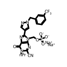 CCCn1c(C#N)nc2c(nc(-c3cnn(Cc4cccc(C(F)(F)F)c4)c3)n2COP(=O)([O-])[O-])c1=O.[Na+].[Na+]